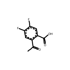 CC(=O)c1cc(F)c(F)cc1C(=O)O